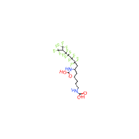 O=C(O)NCCCCCC(CC(F)(F)C(F)(F)C(F)(F)C(F)(F)C(C(F)(F)F)C(F)(F)F)NC(=O)O